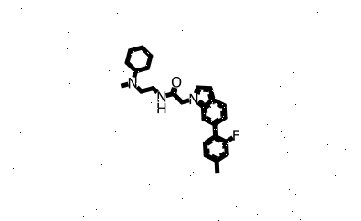 Cc1ccc(-c2ccc3ccn(CC(=O)NCCN(C)C4CCCCC4)c3c2)c(F)c1